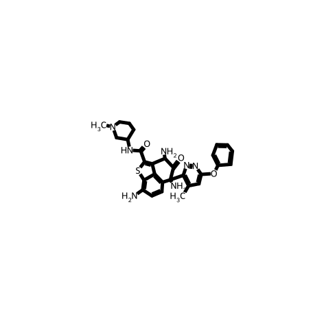 Cc1cc(Oc2ccccc2)nnc1C1(N)C(=O)C(N)c2c(C(=O)NC3CCCN(C)C3)sc3c(N)ccc1c23